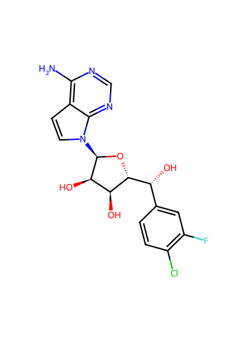 Nc1ncnc2c1ccn2[C@H]1O[C@H]([C@H](O)c2ccc(Cl)c(F)c2)[C@@H](O)[C@H]1O